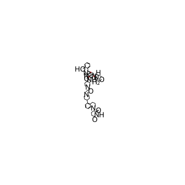 Nc1nnc(-c2ccccc2O)cc1N1C[C@H]2COC[C@@H](C1)N2c1cccc(OC2CCN(C(=O)CN3CCC(c4cccc5c4CCCN5C4CCC(=O)NC4=O)CC3)CC2)c1